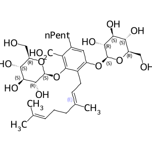 CCCCCc1cc(O[C@@H]2O[C@H](CO)[C@@H](O)[C@H](O)[C@H]2O)c(C/C=C(\C)CCC=C(C)C)c(O[C@@H]2O[C@H](CO)[C@@H](O)[C@H](O)[C@H]2O)c1C(=O)O